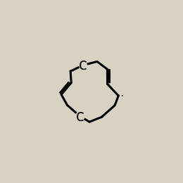 [CH]1/C=C/CCC/C=C/CCCCC1